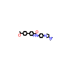 CC(=O)c1ccc(-c2ccc(C(=O)Nc3ccc(N4CCC(N(C)C)C4)cc3)cc2)cc1